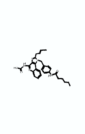 CCCCCC(=O)Nc1ccc(Cn2c(CCCC)nc3c(NC(=O)O)nc4ccccc4c32)cc1